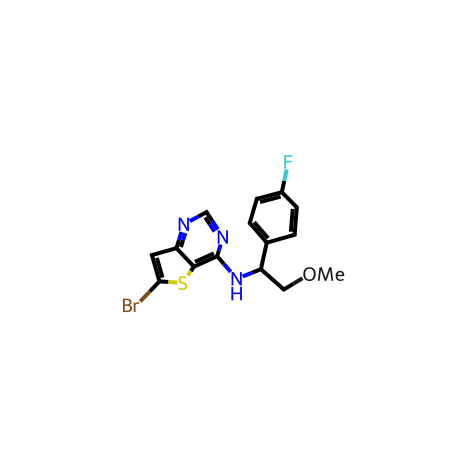 COCC(Nc1ncnc2cc(Br)sc12)c1ccc(F)cc1